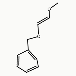 CO/C=C/OCc1ccccc1